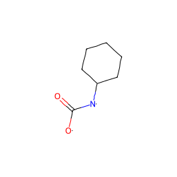 [O]C(=O)[N]C1CCCCC1